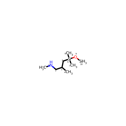 CNCC(C)C[Si](C)(C)O[SiH3]